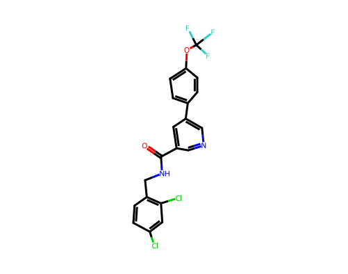 O=C(NCc1ccc(Cl)cc1Cl)c1cncc(-c2ccc(OC(F)(F)F)cc2)c1